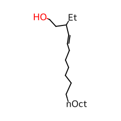 CCCCCCCCCCCCCCC=CC(CC)CCO